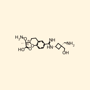 C[C@@](ON)(C(=O)O)[C@H]1CCc2cc(C(=N)N[C@H]3C[C@](CN)(CO)C3)ccc2O1